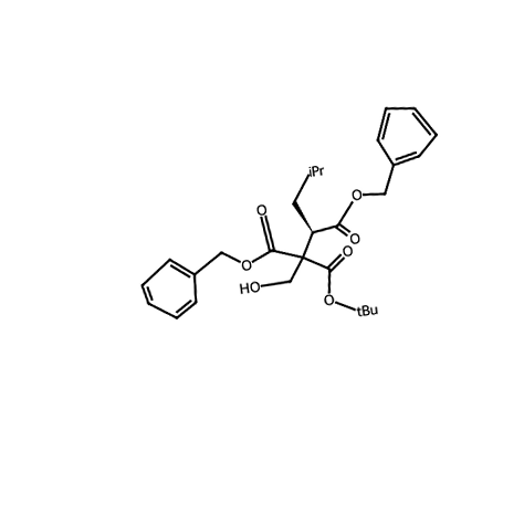 CC(C)C[C@@H](C(=O)OCc1ccccc1)C(CO)(C(=O)OCc1ccccc1)C(=O)OC(C)(C)C